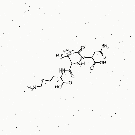 CC(=O)N(N[C@H](C(=O)N[C@@H](CCCCN)C(=O)O)C(C)C)[C@@H](CC(N)=O)C(=O)O